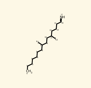 CCCCCCCC(I)CCC(I)CCCC=N